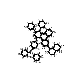 c1ccc(-c2cc(-c3ccc(N(c4ccccc4)c4ccccc4)cc3)c3c4ccc(-c5cccc6ccccc56)cc4c4ccccc4c3c2-c2ccccc2)cc1